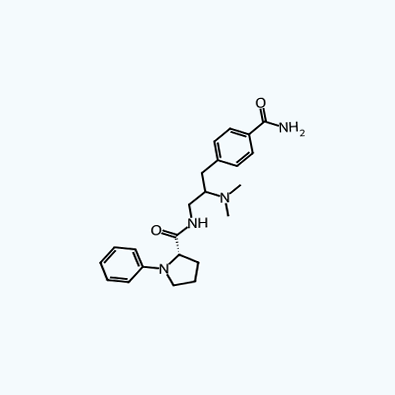 CN(C)C(CNC(=O)[C@@H]1CCCN1c1ccccc1)Cc1ccc(C(N)=O)cc1